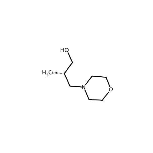 C[C@H](CO)CN1CCOCC1